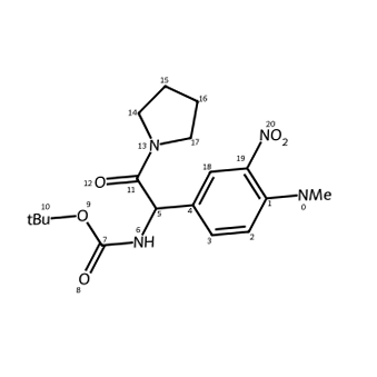 CNc1ccc(C(NC(=O)OC(C)(C)C)C(=O)N2CCCC2)cc1[N+](=O)[O-]